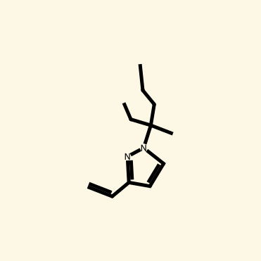 C=Cc1ccn(C(C)(CC)CCC)n1